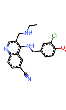 CCNCc1cnc2ccc(C#N)cc2c1NCc1ccc(OC)c(Cl)c1